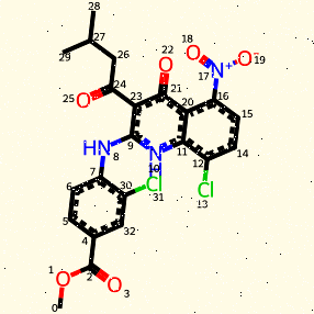 COC(=O)c1ccc(Nc2[nH]c3c(Cl)ccc([N+](=O)[O-])c3c(=O)c2C(=O)CC(C)C)c(Cl)c1